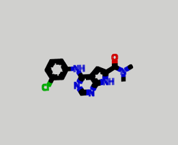 CN(C)C(=O)c1cc2c(Nc3cccc(Cl)c3)ncnc2[nH]1